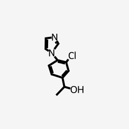 CC(O)c1ccc(-n2ccnc2)c(Cl)c1